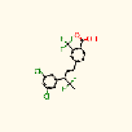 CC(F)(F)C(/C=C/c1ccc(C(=O)O)c(C(F)(F)F)c1)c1cc(Cl)cc(Cl)c1